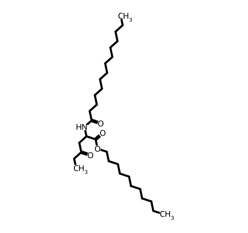 CCCCCCCCCCCCCC(=O)NC(CC(=O)CC)C(=O)OCCCCCCCCCCC